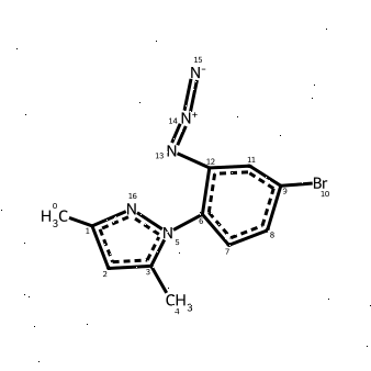 Cc1cc(C)n(-c2ccc(Br)cc2N=[N+]=[N-])n1